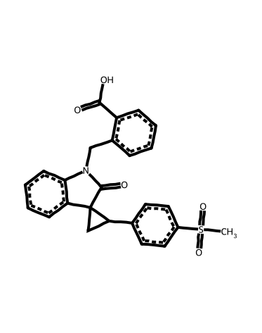 CS(=O)(=O)c1ccc(C2CC23C(=O)N(Cc2ccccc2C(=O)O)c2ccccc23)cc1